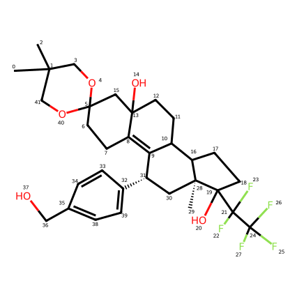 CC1(C)COC2(CCC3=C4C(CCC3(O)C2)C2CCC(O)(C(F)(F)C(F)(F)F)[C@@]2(C)C[C@@H]4c2ccc(CO)cc2)OC1